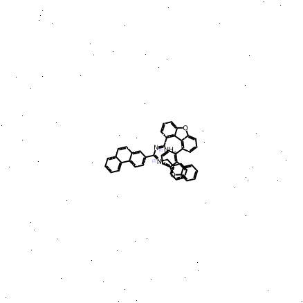 N/C(=N\C(=N/Cc1ccccc1)c1ccc2c(ccc3ccccc32)c1)c1cccc2oc3cccc(-c4cccc5oc6ccccc6c45)c3c12